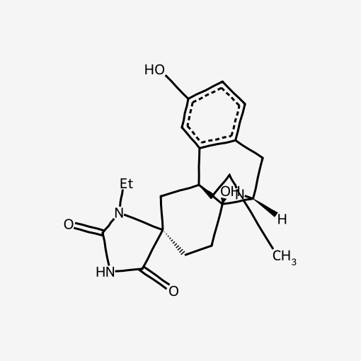 CCN1C(=O)NC(=O)[C@@]12CC[C@@]1(O)[C@H]3Cc4ccc(O)cc4[C@@]1(CCN3C)C2